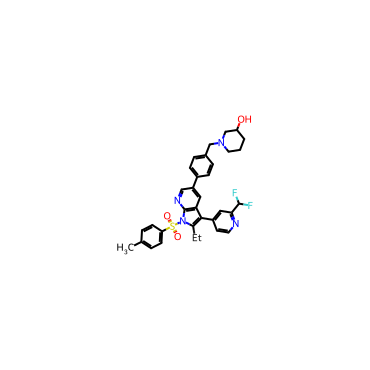 CCc1c(-c2ccnc(C(F)F)c2)c2cc(-c3ccc(CN4CCCC(O)C4)cc3)cnc2n1S(=O)(=O)c1ccc(C)cc1